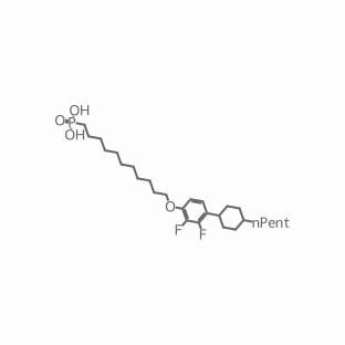 CCCCCC1CCC(c2ccc(OCCCCCCCCCCCP(=O)(O)O)c(F)c2F)CC1